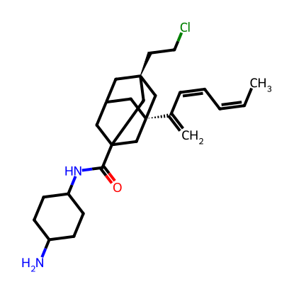 C=C(/C=C\C=C/C)[C@]12CC3CC(C(=O)NC4CCC(N)CC4)(C[C@](CCCl)(C3)C1)C2